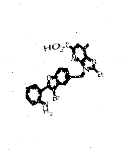 CCc1nc2c(C)cc(C(=O)O)nc2n1Cc1ccc2oc(-c3ccccc3N)c(Br)c2c1